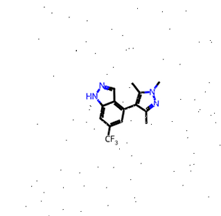 Cc1nn(C)c(C)c1-c1cc(C(F)(F)F)cc2[nH]ncc12